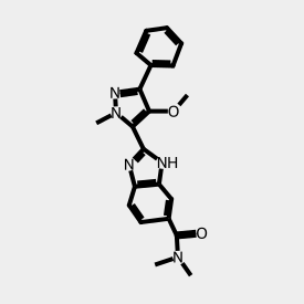 COc1c(-c2ccccc2)nn(C)c1-c1nc2ccc(C(=O)N(C)C)cc2[nH]1